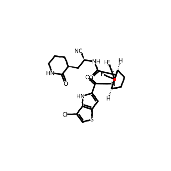 N#C[C@H](C[C@@H]1CCCNC1=O)NC(=O)[C@H]1[C@H]2CC[C@H](CC2(F)F)N1C(=O)c1cc2scc(Cl)c2[nH]1